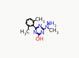 Cc1cccc(C)c1-c1nc(O)nc(N(C)N)n1